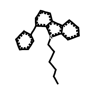 CCCCCCn1c2ccccc2c2cccc(-c3[c]cccc3)c21